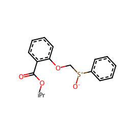 CC(C)OC(=O)c1ccccc1OC[S+]([O-])c1ccccc1